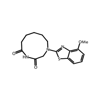 COc1cccc2sc(N3CCCCCC(=O)NC(=O)C3)nc12